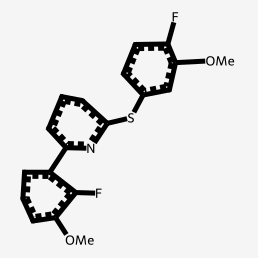 COc1cc(Sc2cccc(-c3cccc(OC)c3F)n2)ccc1F